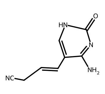 N#CCC=Cc1c[nH]c(=O)nc1N